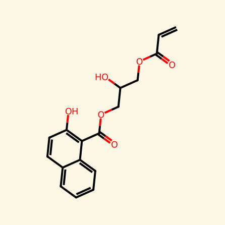 C=CC(=O)OCC(O)COC(=O)c1c(O)ccc2ccccc12